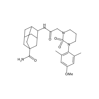 COc1cc(C)c(N2CCCN(CC(=O)NC3C4CC5CC3CC(C(N)=O)(C5)C4)S2(=O)=O)c(C)c1